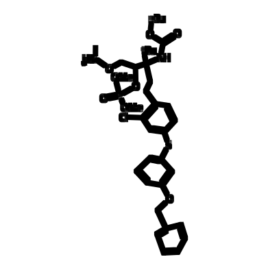 CCCCOC(=O)NC(CCc1ccc(Sc2cccc(OCc3ccccc3)c2)cc1Cl)(C(CO[SiH](C)C)OP(=O)(OC)OC)C(C)(C)C